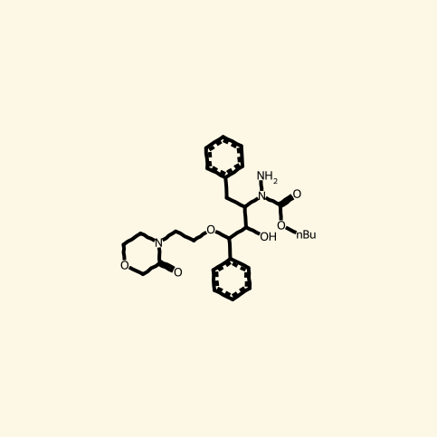 CCCCOC(=O)N(N)C(Cc1ccccc1)C(O)C(OCCN1CCOCC1=O)c1ccccc1